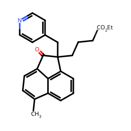 CCOC(=O)CCCC1(Cc2ccncc2)C(=O)c2ccc(C)c3cccc1c23